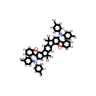 Cc1ccc(N(c2ccc(C)cc2)c2cc3c(c4oc5ccccc5c24)-c2cc4c(cc2C3(C)C)-c2c(cc(N(c3ccc(C)cc3)c3ccc(C)cc3)c3c2oc2ccccc23)C4(C)C)cc1